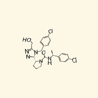 C[C@H](NC(=O)N1CCC[C@@H]1c1nnc(CO)n1Cc1ccc(Cl)cc1)c1ccc(Cl)cc1